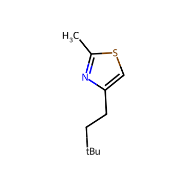 Cc1nc(CCC(C)(C)C)cs1